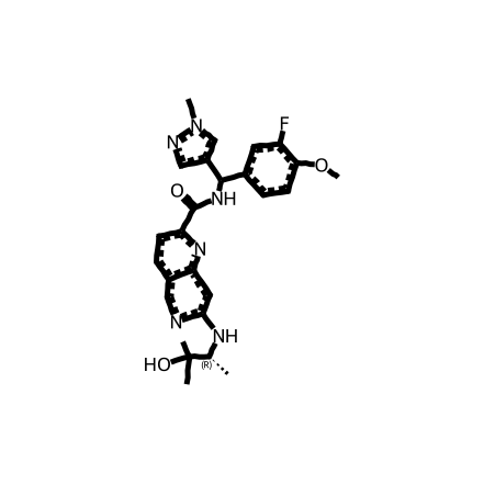 COc1ccc(C(NC(=O)c2ccc3cnc(N[C@H](C)C(C)(C)O)cc3n2)c2cnn(C)c2)cc1F